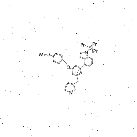 COc1ccc(COc2cc(Cc3cccnc3)cc(-c3cccc4c3ccn4[Si](C(C)C)(C(C)C)C(C)C)c2)cc1